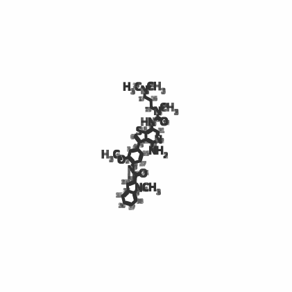 COc1cc(-c2csc3c(NC(=O)N(C)CCCN(C)C)cnc(N)c23)ccc1NC(=O)c1cc2ccccc2n1C